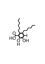 CCCCCCc1c(I)c(O)c(O)c(C(=O)O)c1CCCCCC